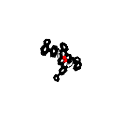 c1ccc(-c2cccc(-c3ccc(N(c4ccc(-c5cccc6ccccc56)cc4)c4ccccc4-c4ccc5oc6c7ccccc7ccc6c5c4)cc3)c2)cc1